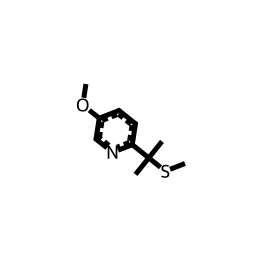 COc1ccc(C(C)(C)SC)nc1